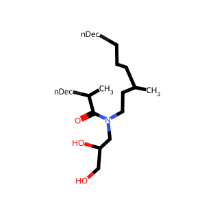 CCCCCCCCCCCCCC(C)CCN(CC(O)CO)C(=O)C(C)CCCCCCCCCC